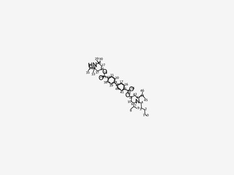 CCCCCN1C(C(C)C)CC(OC(=O)c2ccc(-c3ccc(C(=O)OC4CC(C)(C)NC(C)(C(C)C)C4)cc3)cc2)CC1C(C)C